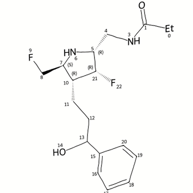 CCC(=O)NC[C@H]1N[C@H](CF)[C@@H](CCC(O)c2ccccc2)[C@H]1F